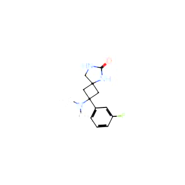 CN(C)C1(c2cccc(F)c2)CC2(CNC(=O)N2)C1